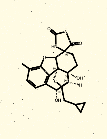 Cc1ccc2c3c1OC1[C@]34CCN(CC3CC3)[C@H]([C@@H]2O)[C@]4(O)CC[C@]12NC(=O)NC2=O